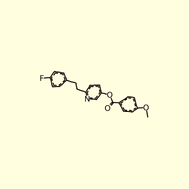 COc1ccc(C(=O)Oc2ccc(CCc3ccc(F)cc3)nc2)cc1